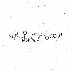 NCC(=O)Nc1ccc(COC(=O)O)cc1